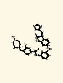 CCN1CCN(Cc2ccc(C(=O)Nc3cccc(Nc4ccc5c(c4)NC(=O)/C5=C\c4cnc[nH]4)c3)cc2C(F)(F)F)CC1